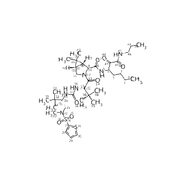 CCCCC(NC(=O)[C@@H]1[C@@H]2[C@H](CN1C(=O)[C@@H](NC(=O)N[C@H](CN(C)S(=O)(=O)c1cccs1)C(C)(C)C)C(C)(C)C)C2(C)C)C(=O)C(=O)NCCC